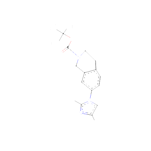 Cc1cn(-c2ccc3c(c2)CN(C(=O)OC(C)(C)C)CC3)c(C)n1